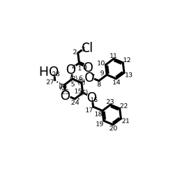 O=C(CCl)O[C@H]1[C@H](OCc2ccccc2)[C@@H](OCc2ccccc2)[CH]O[C@@H]1CO